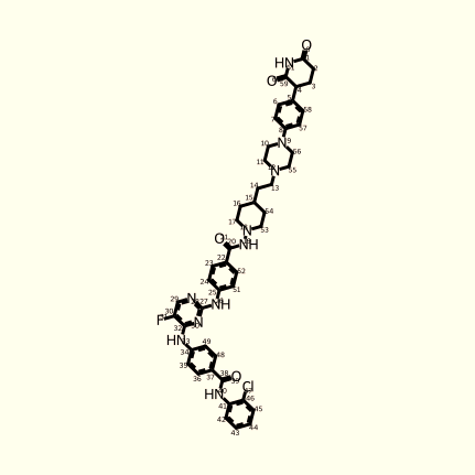 O=C1CCC(c2ccc(N3CCN(CCC4CCN(NC(=O)c5ccc(Nc6ncc(F)c(Nc7ccc(C(=O)Nc8ccccc8Cl)cc7)n6)cc5)CC4)CC3)cc2)C(=O)N1